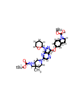 CC1(CNC(=O)OC(C)(C)C)CCN(c2cnc3c(Oc4ccc5c(ccn5C(=O)OC(C)(C)C)c4)nn(C4CCCCO4)c3n2)CC1